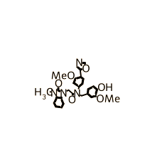 COc1cc(CN(C(=O)Cn2c(=O)n(C)c3ccccc32)c2ccc(-c3cnco3)c(OC)c2)ccc1O